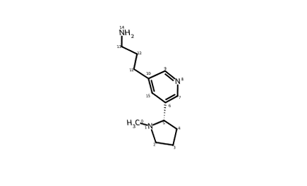 CN1CCC[C@H]1c1cncc(CCCN)c1